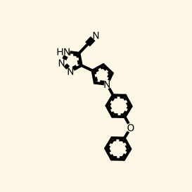 N#Cc1[nH]nnc1-c1ccn(-c2ccc(Oc3ccccc3)cc2)c1